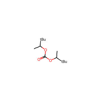 CC(OC(=O)OC(C)C(C)(C)C)C(C)(C)C